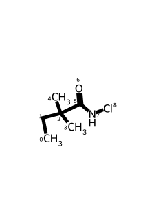 CCC(C)(C)C(=O)NCl